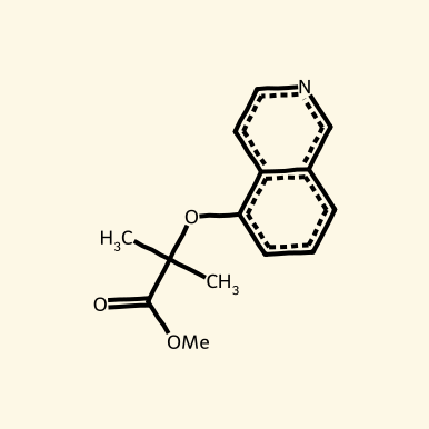 COC(=O)C(C)(C)Oc1cccc2cnccc12